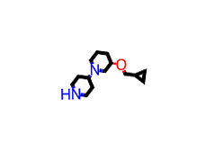 C1C[C@@H](OCC2CC2)CN(C2CCNCC2)C1